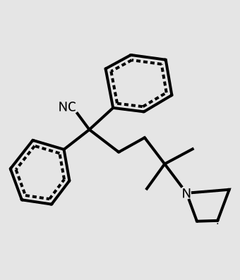 CC(C)(CCC(C#N)(c1ccccc1)c1ccccc1)N1C[CH]C1